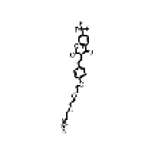 [N-]=[N+]=NCCOCCOCCOc1ccc(CCC(C(=O)O)C(=O)c2ccc(C(F)(F)F)cc2)cc1